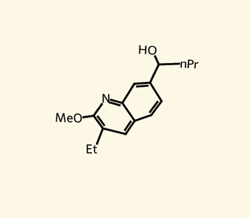 CCCC(O)c1ccc2cc(CC)c(OC)nc2c1